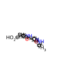 Cc1ccccc1Nc1nc2ccc(CCC(=O)Nc3ccc([C@H](C)CC(=O)O)cc3)cc2o1